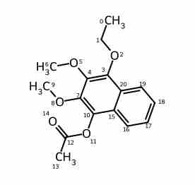 CCOc1c(OC)c(OC)c(OC(C)=O)c2ccccc12